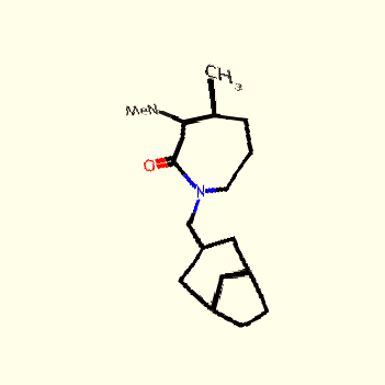 CNC1C(=O)N(CC2CC3CCC(C3)C2)CCCC1C